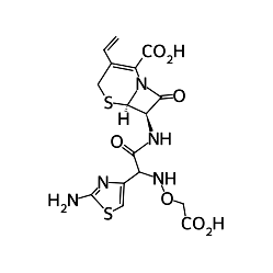 C=CC1=C(C(=O)O)N2C(=O)[C@@H](NC(=O)C(NOCC(=O)O)c3csc(N)n3)[C@H]2SC1